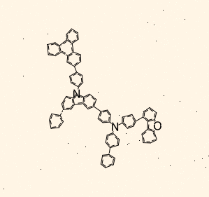 c1ccc(-c2ccc(N(c3ccc(-c4ccc5c(c4)c4cc(-c6ccccc6)ccc4n5-c4ccc(-c5ccc6c7ccccc7c7ccccc7c6c5)cc4)cc3)c3ccc(-c4cccc5oc6ccccc6c45)cc3)cc2)cc1